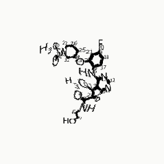 Cc1c(C(=O)NCCO)sc2ncnc(Nc3ccc(F)cc3O[C@@H]3CCCN([S+](C)[O-])C3)c12